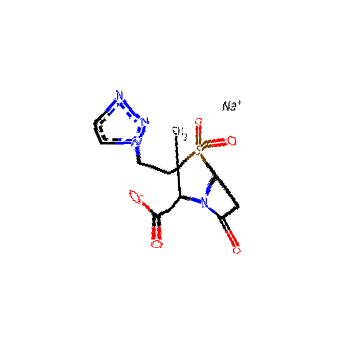 CC1(Cn2ccnn2)C(C(=O)[O-])N2C(=O)CC2S1(=O)=O.[Na+]